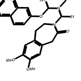 CCCC(Oc1ccc2ccccc2c1)N(C)C(CC)N1CCc2cc(OC)c(OC)cc2CC1=O.Cl